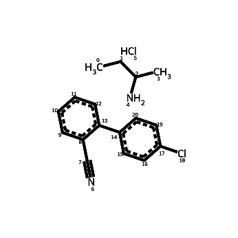 CCC(C)N.Cl.N#Cc1ccccc1-c1ccc(Cl)cc1